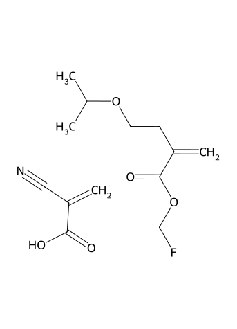 C=C(C#N)C(=O)O.C=C(CCOC(C)C)C(=O)OCF